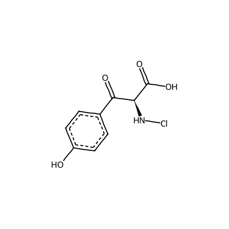 O=C(O)[C@@H](NCl)C(=O)c1ccc(O)cc1